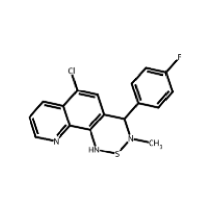 CN1SNc2c(cc(Cl)c3cccnc23)C1c1ccc(F)cc1